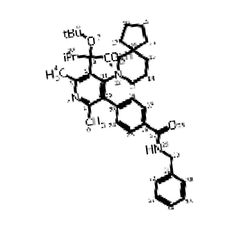 Cc1nc(C)c(C(OC(C)(C)C)(C(=O)O)C(C)C)c(N2CCCC3(CCCC3)C2)c1-c1ccc(C(=O)NCc2ccccc2)cc1